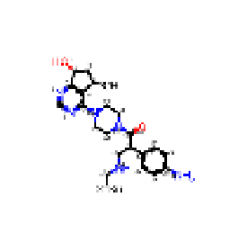 C[C@@H]1CC(O)c2ncnc(N3CCN(C(=O)C(CNCC(C)(C)C)c4ccc(N)cc4)CC3)c21